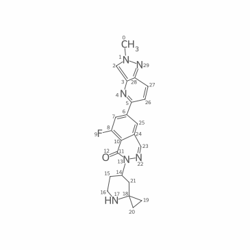 Cn1cc2nc(-c3cc(F)c4c(=O)n(C5CCNC6(CC6)C5)ncc4c3)ccc2n1